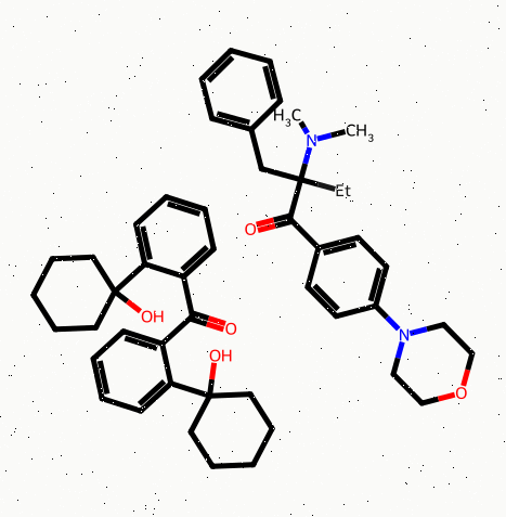 CCC(Cc1ccccc1)(C(=O)c1ccc(N2CCOCC2)cc1)N(C)C.O=C(c1ccccc1C1(O)CCCCC1)c1ccccc1C1(O)CCCCC1